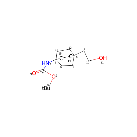 CC(C)(C)OC(=O)NC12CCC(CCO)(CC1)CC2